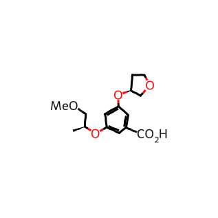 COC[C@H](C)Oc1cc(O[C@H]2CCOC2)cc(C(=O)O)c1